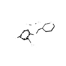 CC(C)(C)OC=O.Nc1cc(C(F)(F)F)ccc1OCC1CCCNC1